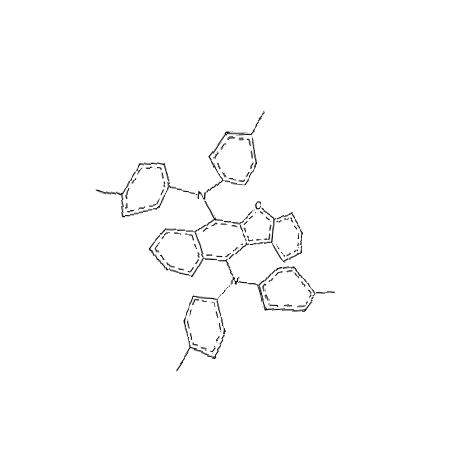 Cc1ccc(N(c2ccc(C)cc2)c2c3ccccc3c(N(c3ccc(C)cc3)c3ccc(C)cc3)c3c2oc2ccccc23)cc1